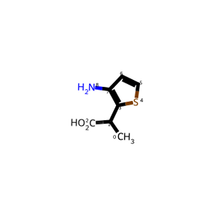 CC(C(=O)O)c1sccc1N